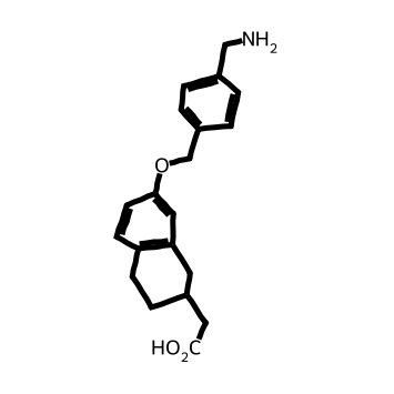 NCc1ccc(COc2ccc3c(c2)CC(CC(=O)O)CC3)cc1